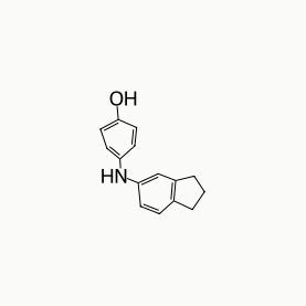 Oc1ccc(Nc2ccc3c(c2)CCC3)cc1